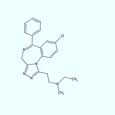 CCN(C)CCc1nnc2n1-c1ccc(Cl)cc1C(c1ccccc1)=NC2